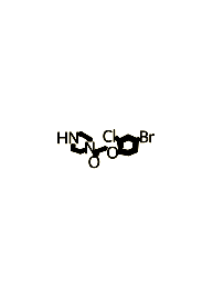 O=C(COc1ccc(Br)cc1Cl)N1CCNCC1